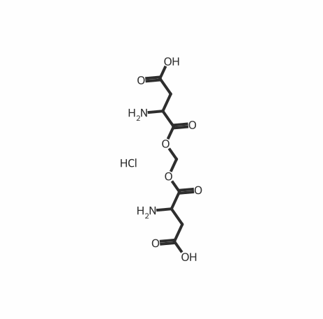 Cl.NC(CC(=O)O)C(=O)OCOC(=O)C(N)CC(=O)O